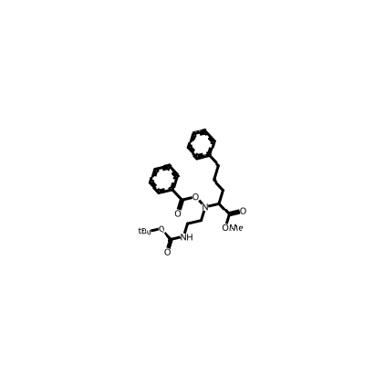 COC(=O)C(CCCc1ccccc1)N(CCNC(=O)OC(C)(C)C)OC(=O)c1ccccc1